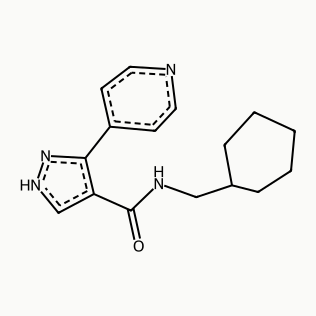 O=C(NCC1CCCCC1)c1c[nH]nc1-c1ccncc1